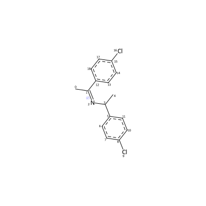 C/C(=N/C(C)c1ccc(Cl)cc1)c1ccc(Cl)cc1